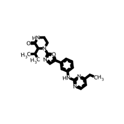 CCc1ccnc(Nc2cccc(-c3cnc(N4CCNC(=O)C4C(C)C)o3)c2)n1